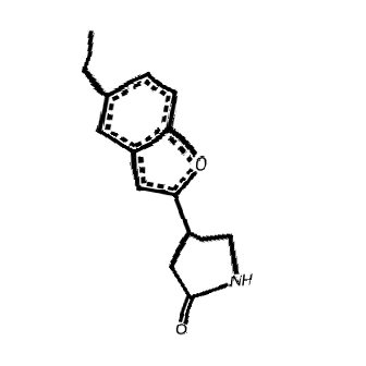 CCc1ccc2oc(C3CNC(=O)C3)cc2c1